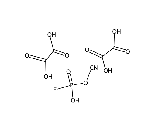 N#COP(=O)(O)F.O=C(O)C(=O)O.O=C(O)C(=O)O